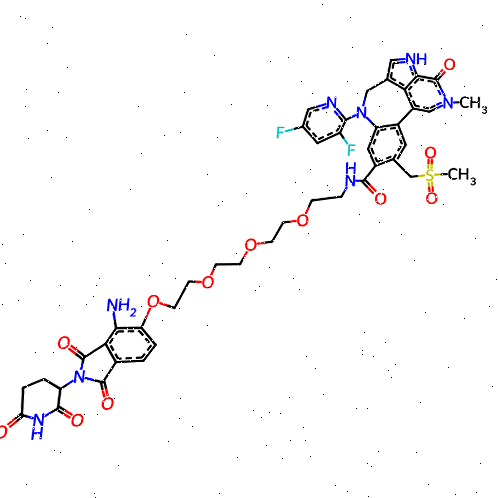 Cn1cc2c3c(c[nH]c3c1=O)CN(c1ncc(F)cc1F)c1cc(C(=O)NCCOCCOCCOCCOc3ccc4c(c3N)C(=O)N(C3CCC(=O)NC3=O)C4=O)c(CS(C)(=O)=O)cc1-2